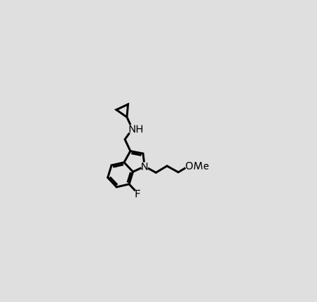 COCCCn1cc(CNC2CC2)c2cccc(F)c21